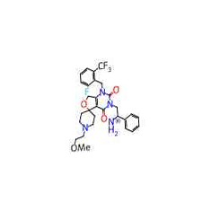 COCCN1CCC2(CC1)OCc1c2c(=O)n(C[C@H](N)c2ccccc2)c(=O)n1Cc1c(F)cccc1C(F)(F)F